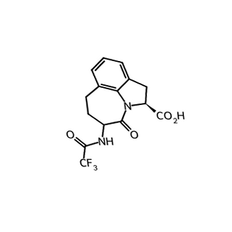 O=C(O)[C@@H]1Cc2cccc3c2N1C(=O)C(NC(=O)C(F)(F)F)CC3